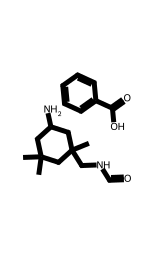 CC1(C)CC(N)CC(C)(CNC=O)C1.O=C(O)c1ccccc1